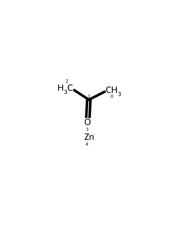 CC(C)=O.[Zn]